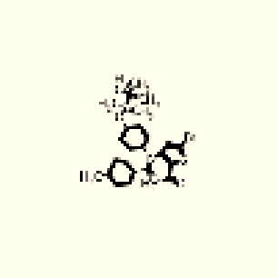 CC(=O)c1sc(Br)cc1N(C(=O)[C@H]1CC[C@H](C)CC1)[C@H]1CC[C@@H](O[Si](C)(C)C(C)(C)C)CC1